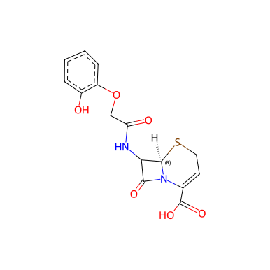 O=C(COc1ccccc1O)NC1C(=O)N2C(C(=O)O)=CCS[C@H]12